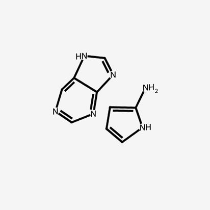 Nc1ccc[nH]1.c1ncc2[nH]cnc2n1